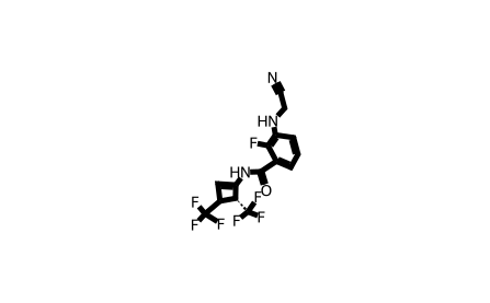 N#CCNc1cccc(C(=O)NC2=CC(C(F)(F)F)[C@H]2C(F)(F)F)c1F